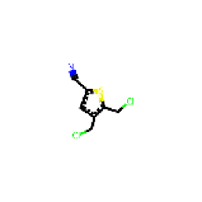 N#Cc1cc(CCl)c(CCl)s1